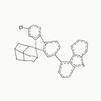 Clc1ccc2c(c1)C1(c3cc(-c4cccc5sc6ccccc6c45)ccc3-2)C2CC3CC(C2)CC1C3